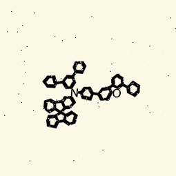 c1ccc(-c2cc(-c3ccccc3)cc(N(c3ccc(-c4ccc5oc6c(-c7ccccc7)cccc6c5c4)cc3)c3ccc4c(c3)-c3ccccc3C43c4ccccc4-c4ccccc43)c2)cc1